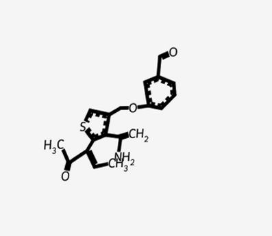 C=C(N)c1c(COc2cccc(C=O)c2)csc1/C(=C\C)C(C)=O